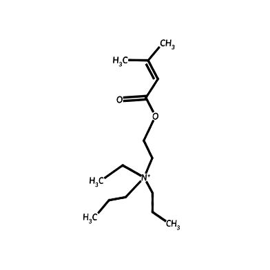 CCC[N+](CC)(CCC)CCOC(=O)C=C(C)C